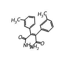 Cc1cccc(/C(C(N)=O)=C(/C(N)=O)c2cccc(C)c2)c1